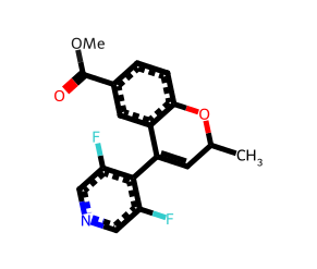 COC(=O)c1ccc2c(c1)C(c1c(F)cncc1F)=CC(C)O2